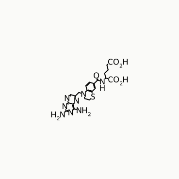 Nc1nc(N)c2nc(CN3CCSc4cc(C(=O)NC(CCCC(=O)O)C(=O)O)ccc43)cnc2n1